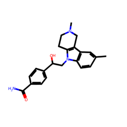 Cc1ccc2c(c1)c1c(n2CC(O)c2ccc(C(N)=O)cc2)CCN(C)C1